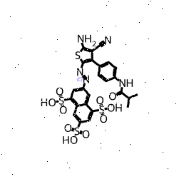 CC(C)C(=O)Nc1ccc(-c2c(/N=N/c3cc(S(=O)(=O)O)c4cc(S(=O)(=O)O)cc(S(=O)(=O)O)c4c3)sc(N)c2C#N)cc1